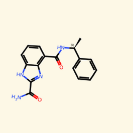 C[C@H](NC(=O)c1cccc2[nH]c(C(N)=O)nc12)c1ccccc1